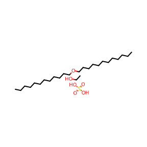 CCCCCCCCCCCCOCCCCCCCCCCCC.CCO.O=S(=O)(O)O